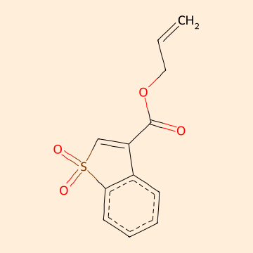 C=CCOC(=O)C1=CS(=O)(=O)c2ccccc21